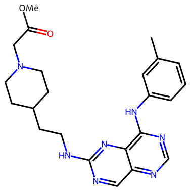 COC(=O)CN1CCC(CCNc2ncc3ncnc(Nc4cccc(C)c4)c3n2)CC1